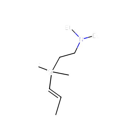 CC=C[Si](C)(C)CCN(CC)CC